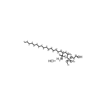 CCCCCCCCCCCCCCCCC(CC(C)C[Si](OC)(OC)OCCO)C(C)(C)N.Cl